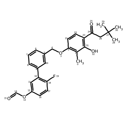 Cc1c(OCc2cccc(-c3cc(OC=O)ccc3F)c2)ccc(C(=O)CC(C)(C)C)c1O